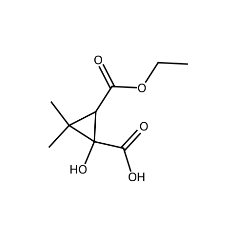 CCOC(=O)C1C(C)(C)C1(O)C(=O)O